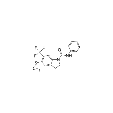 CSc1cc2c(cc1C(F)(F)F)N(C(=O)Nc1ccccc1)CC2